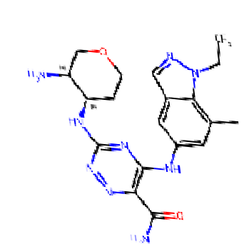 Cc1cc(Nc2nc(N[C@@H]3CCOC[C@@H]3N)nnc2C(N)=O)cc2cnn(CC(F)(F)F)c12